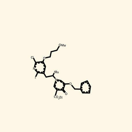 CCOC(=O)c1cn(C(Cc2cc(OCCCOC)c(Cl)nc2I)C(C)(C)C)cc(OCc2ccccc2)c1=O